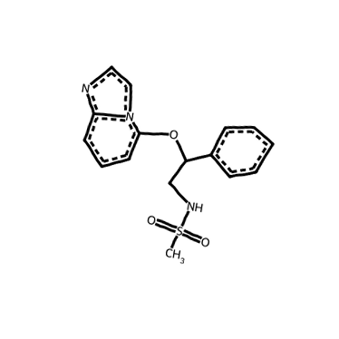 CS(=O)(=O)NCC(Oc1cccc2nccn12)c1ccccc1